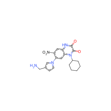 NCc1ccn(-c2cc3c(cc2[N+](=O)[O-])[nH]c(=O)c(=O)n3C2CCCCC2)c1